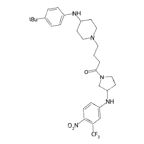 CC(C)(C)c1ccc(NC2CCN(CCCC(=O)N3CCC(Nc4ccc([N+](=O)[O-])c(C(F)(F)F)c4)C3)CC2)cc1